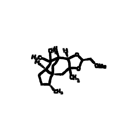 COC[C@@H]1O[C@@H]2[C@@H]3C[C@@]4(CC2(C)O1)[C@H](C)CC[C@H]4C3(C)C